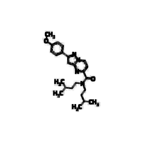 COc1ccc(-c2cc3nc(C(=O)N(CCC(C)C)CCC(C)C)ccn3n2)cc1